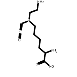 CNCCN(C=C=O)CCCCC(N)C(=O)N=O